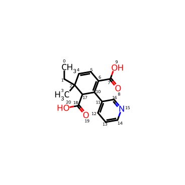 CCC1(C)C=CC(C(=O)O)=C(c2cccnc2)C1C(=O)O